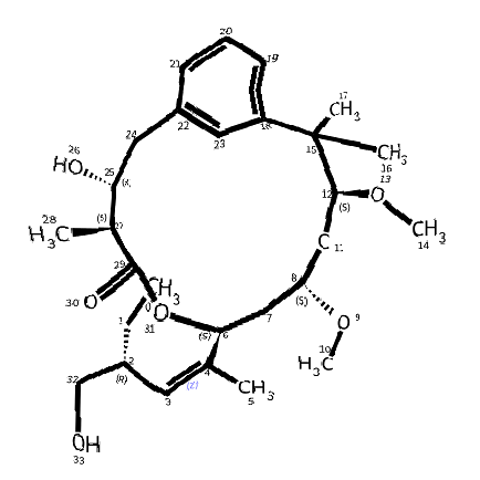 CC[C@H](/C=C(/C)[C@@H]1C[C@@H](OC)C[C@H](OC)C(C)(C)c2cccc(c2)C[C@@H](O)[C@H](C)C(=O)O1)CO